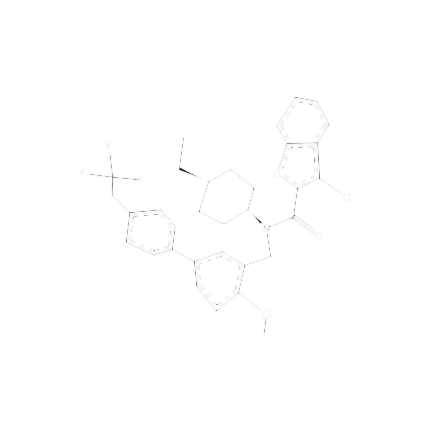 CC[C@H]1CC[C@@H](N(Cc2cc(-c3ccc(CC(F)(F)F)cc3)ccc2OC)C(=O)c2oc3ccccc3c2Cl)CC1